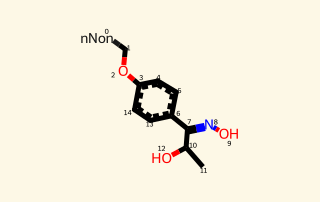 CCCCCCCCCCOc1ccc(C(=NO)C(C)O)cc1